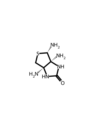 N[C@H]1SC[C@]2(N)NC(=O)N[C@]12N